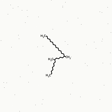 [CH2]C(CCCCCCCCCCCCCC)CCCCC(C)CCCCCCCC